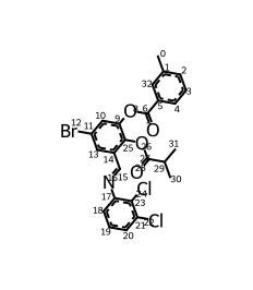 Cc1cccc(C(=O)Oc2cc(Br)cc(C=Nc3cccc(Cl)c3Cl)c2OC(=O)C(C)C)c1